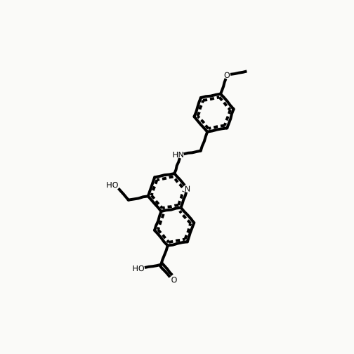 COc1ccc(CNc2cc(CO)c3cc(C(=O)O)ccc3n2)cc1